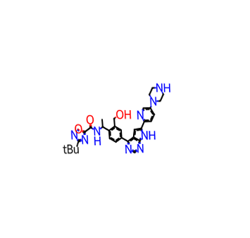 CC(NC(=O)c1nc(C(C)(C)C)no1)c1ccc(-c2ncnc3[nH]c(-c4ccc(N5CCNCC5)cn4)cc23)cc1CO